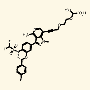 C[C@H](Oc1cc(-c2nn(C)c3c(C#CCOCCOC(C(=O)O)C(C)(C)C)cnc(N)c23)ccc1NS(=O)(=O)C(F)F)c1ccc(F)cc1